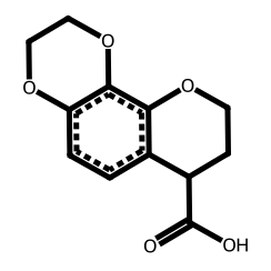 O=C(O)C1CCOc2c1ccc1c2OCCO1